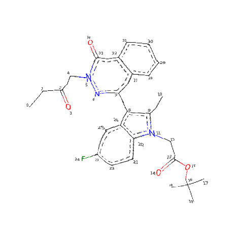 CCC(=O)Cn1nc(-c2c(C)n(CC(=O)OC(C)(C)C)c3ccc(F)cc23)c2ccccc2c1=O